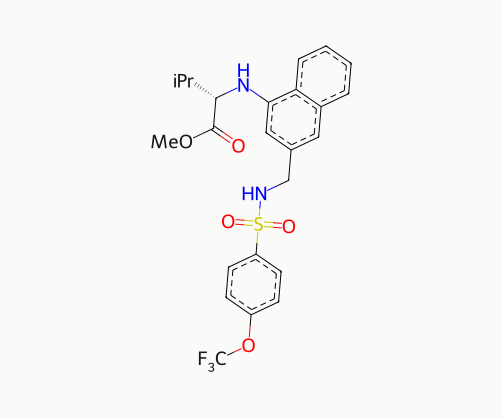 COC(=O)[C@@H](Nc1cc(CNS(=O)(=O)c2ccc(OC(F)(F)F)cc2)cc2ccccc12)C(C)C